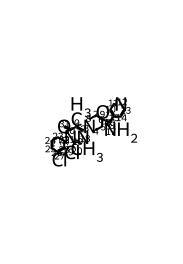 Cc1c(N2CCC3(CC2)Oc2cnccc2[C@H]3N)nc(C)n([C@H]2CC=CC(Cl)=C2Cl)c1=O